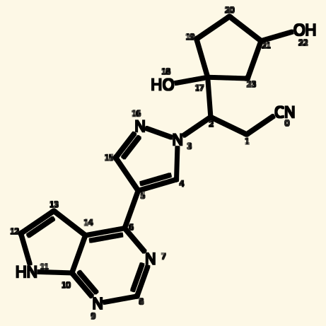 N#CCC(n1cc(-c2ncnc3[nH]ccc23)cn1)C1(O)CCC(O)C1